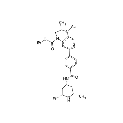 CC[C@@H]1C[C@H](NC(=O)c2ccc(-c3ccc4c(c3)N(C(=O)OC(C)C)C[C@H](C)N4C(C)=O)cc2)C[C@H](C)N1